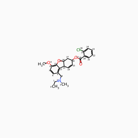 CCN(C)Cc1ccc(OC)c2c1C1C=CC(OC(=O)c3ccccc3Cl)CC1O2